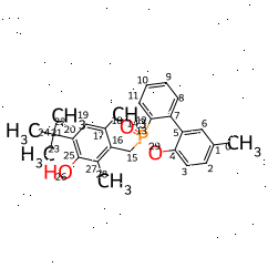 Cc1ccc2c(c1)-c1ccccc1P(=O)(Cc1c(C)cc(C(C)(C)C)c(O)c1C)O2